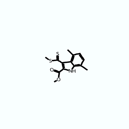 COC(=O)c1[nH]c2c(C)ccc(C)c2c1C(=S)SC